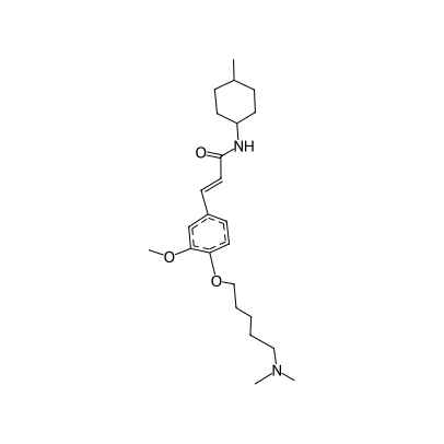 COc1cc(C=CC(=O)NC2CCC(C)CC2)ccc1OCCCCCN(C)C